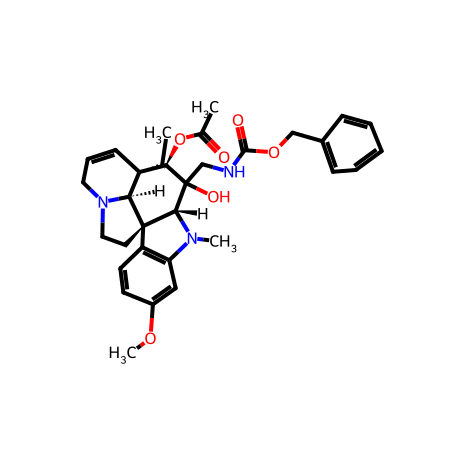 CC[C@]12C=CCN3CC[C@@]4(c5ccc(OC)cc5N(C)[C@H]4C(O)(CNC(=O)OCc4ccccc4)[C@@H]1OC(C)=O)[C@@H]32